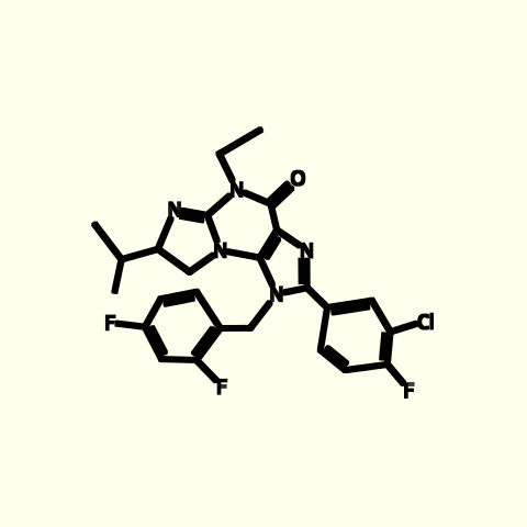 CCN1C(=O)c2nc(-c3ccc(F)c(Cl)c3)n(Cc3ccc(F)cc3F)c2N2CC(C(C)C)N=C12